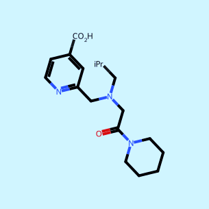 CC(C)CN(CC(=O)N1CCCCC1)Cc1cc(C(=O)O)ccn1